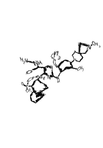 COc1cc(N2CCC3(CC2)CN(C)C3)c(C)cc1Nc1ncc(C(=O)NN)c(Nc2ccc3ccccc3c2P(C)(C)=O)n1